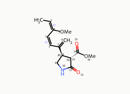 C=C(/C=C\C(=C/C)OC)[C@@H]1CNC(=O)[C@H]1C(=O)OC